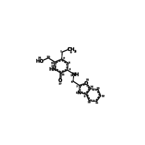 CCc1cc(NCc2nc3ccccc3o2)c(=O)[nH]c1CO